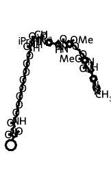 COc1cc2c(cc1OCCCOc1cc3c(cc1OC)C(=O)N1C=C(c4ccc(N5CCN(C)CC5)cc4)C[C@H]1C=N3)N=C[C@@H]1CC(c3ccc(NC(=O)[C@H](C)NC(=O)[C@@H](NC(=O)CCOCCOCCOCCOCCOCCOCCOCCOCCNC(=O)CCN4C(=O)CC(C5CCCCCCCCC5)C4=O)C(C)C)cc3)=CN1C2=O